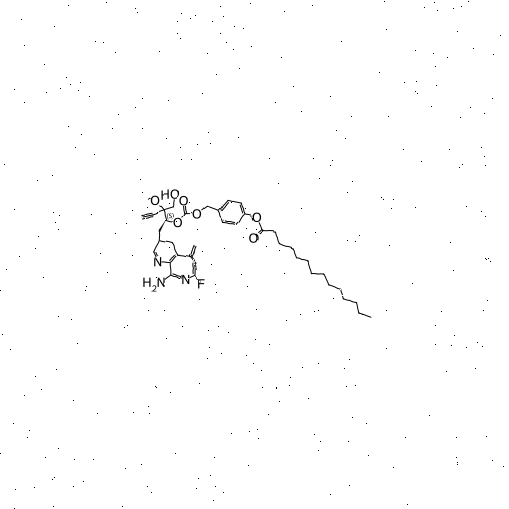 C#CC(CO)(OC)[C@H](CC1C=NC2=C(C1)C(=C)C=C(F)N=C2N)OC(=O)OCc1ccc(OC(=O)CCCCCCCCCCCCC)cc1